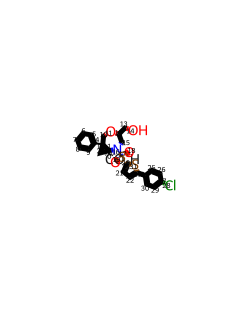 O=C(O)[C@@]12C[C@]1(c1ccccc1)COC(CO)CN2S(=O)(=O)c1ccc(-c2ccc(Cl)cc2)s1